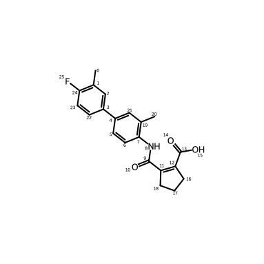 Cc1cc(-c2ccc(NC(=O)C3=C(C(=O)O)CCC3)c(C)c2)ccc1F